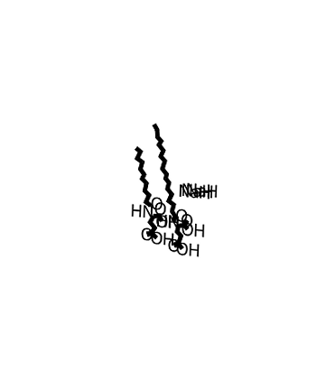 CCCCCCCCCCCC(=O)NC(CCC(=O)O)C(=O)O.CCCCCCCCCCCCCCCCCC(=O)NC(CCC(=O)O)C(=O)O.[NaH].[NaH].[NaH]